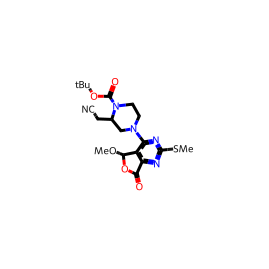 COC1OC(=O)c2nc(SC)nc(N3CCN(C(=O)OC(C)(C)C)C(CC#N)C3)c21